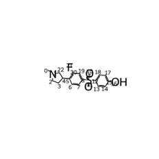 CN1CCC(c2ccc(S(=O)(=O)c3ccc(O)cc3)cc2F)C1